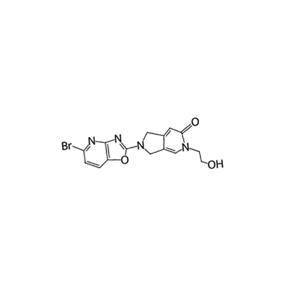 O=c1cc2c(cn1CCO)CN(c1nc3nc(Br)ccc3o1)C2